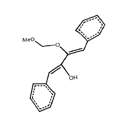 COCOC(=Cc1ccccc1)C(O)=Cc1ccccc1